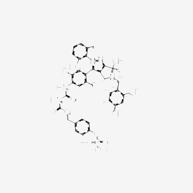 CCc1cccc(CC)c1-n1nc2c(c1-c1cc(F)c(NC(=O)NC(=O)OCc3ccc(OP(=O)(O)O)cc3)cc1F)CN(Cc1ccc(C(F)(F)F)cc1C(F)(F)F)C2(C)C